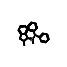 CC1Cc2ccccc2C1N(C)P(c1ccccc1)c1ccccc1